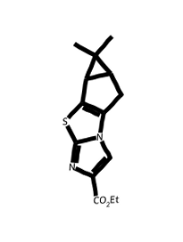 CCOC(=O)c1cn2c3c(sc2n1)C1C(C3)C1(C)C